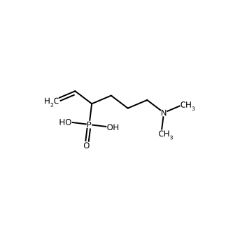 C=CC(CCCN(C)C)P(=O)(O)O